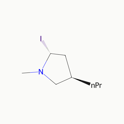 CCC[C@@H]1C[C@@H](I)N(C)C1